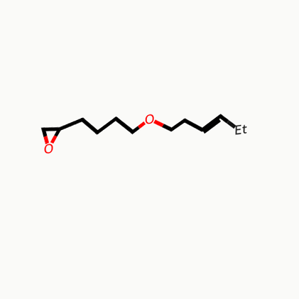 CCC=CCCOCCCCC1CO1